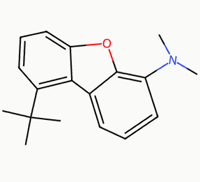 CN(C)c1cccc2c1oc1cccc(C(C)(C)C)c12